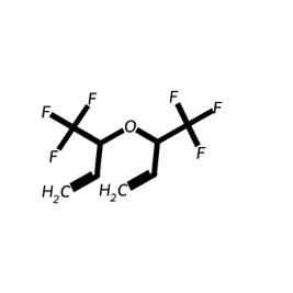 C=CC(OC(C=C)C(F)(F)F)C(F)(F)F